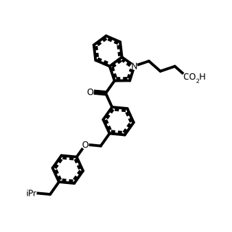 CC(C)Cc1ccc(OCc2cccc(C(=O)c3cn(CCCC(=O)O)c4ccccc34)c2)cc1